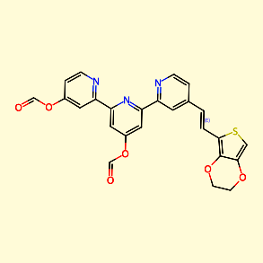 O=COc1ccnc(-c2cc(OC=O)cc(-c3cc(/C=C/c4scc5c4OCCO5)ccn3)n2)c1